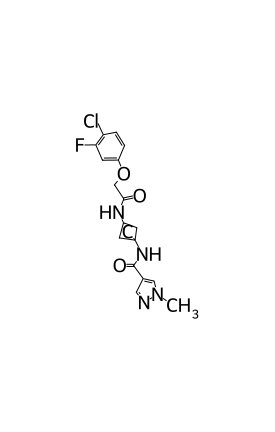 Cn1cc(C(=O)NC23CC(NC(=O)COc4ccc(Cl)c(F)c4)(C2)C3)cn1